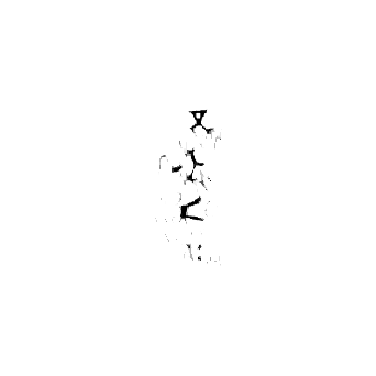 N#CC1(CNc2nc(Cl)nc3c2cnn3[C@@H]2O[C@H](COCP(=O)(O)O)[C@@H](O)[C@H]2O)CC1